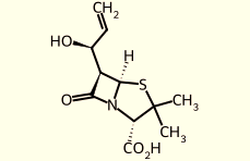 C=C[C@H](O)[C@@H]1C(=O)N2[C@@H]1SC(C)(C)[C@@H]2C(=O)O